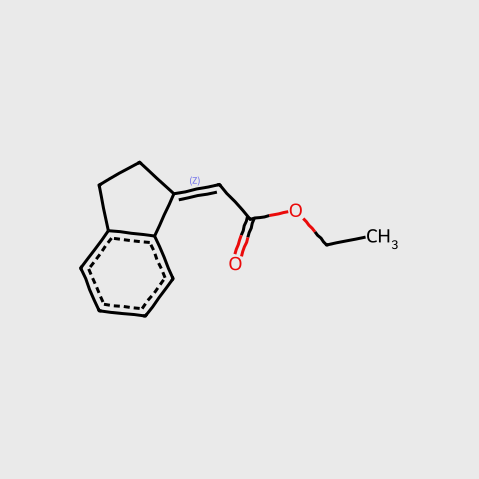 CCOC(=O)/C=C1/CCc2ccccc21